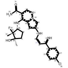 C[C@@]1(O)CC[C@@H](Nc2c(C(N)=O)cnn3cc(N/C=C\C(=N)c4ccc(Cl)cc4)cc23)[C@@]1(C)F